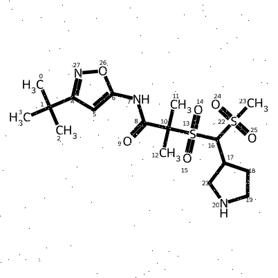 CC(C)(C)c1cc(NC(=O)C(C)(C)S(=O)(=O)C(C2CCNC2)S(C)(=O)=O)on1